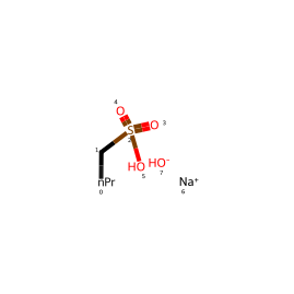 CCCCS(=O)(=O)O.[Na+].[OH-]